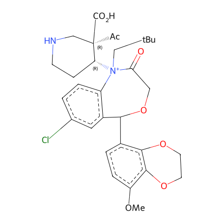 COc1ccc(C2OCC(=O)[N+](CC(C)(C)C)([C@@H]3CCNC[C@@]3(C(C)=O)C(=O)O)c3ccc(Cl)cc32)c2c1OCCO2